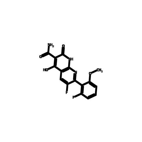 COc1cccc(F)c1-c1nc2[nH]c(=O)c(C(N)=O)c(O)c2cc1F